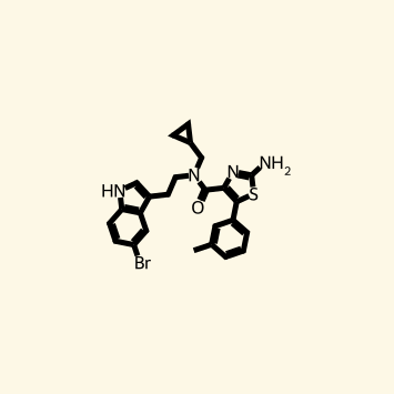 Cc1cccc(-c2sc(N)nc2C(=O)N(CCc2c[nH]c3ccc(Br)cc23)CC2CC2)c1